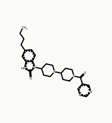 CCCCc1ccc2c(c1)[nH]c(=O)n2C1CCN(C2CCN(C(=O)c3cncnc3)CC2)CC1